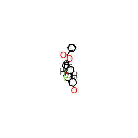 C[C@]12CC[C@H]3[C@@H](CCC4=CC(=O)CC[C@@]43C(F)F)[C@@H]1CC[C@@H]2OC(=O)c1ccccc1